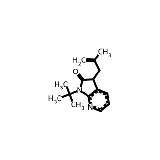 C=C(C)CC1C(=O)N(C(C)(C)C)c2ncccc21